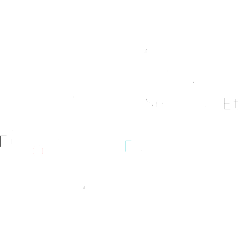 CCC=Cc1ccc(-c2ccc(OCC)c(F)c2F)[se]1